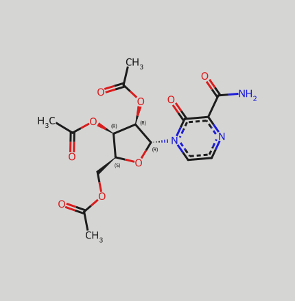 CC(=O)OC[C@@H]1O[C@@H](n2ccnc(C(N)=O)c2=O)[C@H](OC(C)=O)[C@@H]1OC(C)=O